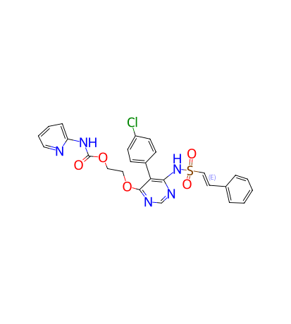 O=C(Nc1ccccn1)OCCOc1ncnc(NS(=O)(=O)/C=C/c2ccccc2)c1-c1ccc(Cl)cc1